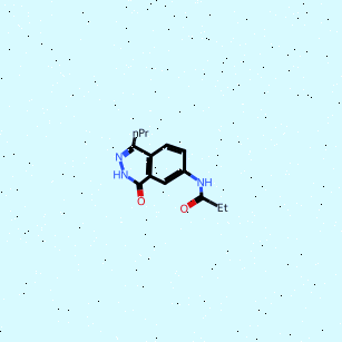 CCCc1n[nH]c(=O)c2cc(NC(=O)CC)ccc12